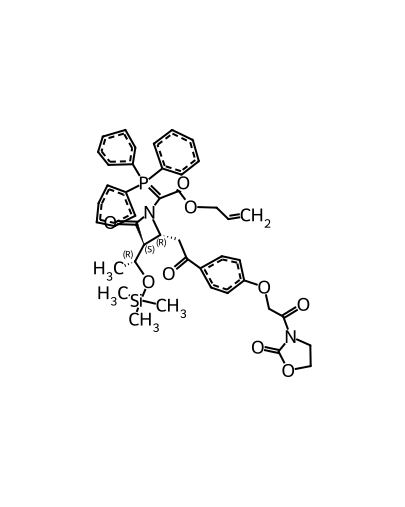 C=CCOC(=O)C(N1C(=O)[C@H]([C@@H](C)O[Si](C)(C)C)[C@H]1CC(=O)c1ccc(OCC(=O)N2CCOC2=O)cc1)=P(c1ccccc1)(c1ccccc1)c1ccccc1